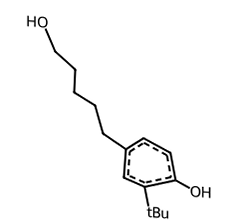 CC(C)(C)c1cc(CCCCCO)ccc1O